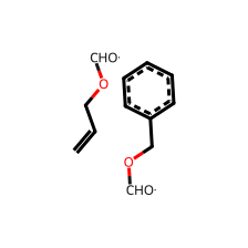 C=CCO[C]=O.O=[C]OCc1ccccc1